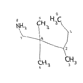 CCC(C)C(C)(C)CN